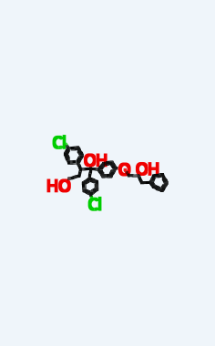 OCCC(c1ccc(Cl)cc1)C(O)(c1ccc(Cl)cc1)c1ccc(OCC(O)Cc2ccccc2)cc1